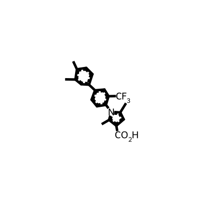 Cc1ccc(-c2ccc(-n3c(C)cc(C(=O)O)c3C)c(C(F)(F)F)c2)cc1C